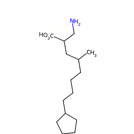 CC(CCCCC1CCCC1)CC(CN)C(=O)O